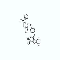 O=C(c1cc(Cc2c[nH]c(=O)c3cc(Cl)c(Cl)n23)ccc1F)N1CCN(C(=O)N2CCCC2)CC1